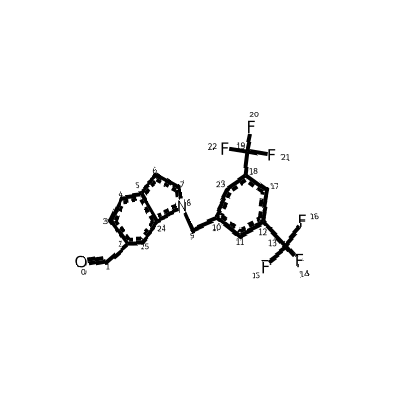 O=Cc1ccc2ccn(Cc3cc(C(F)(F)F)cc(C(F)(F)F)c3)c2c1